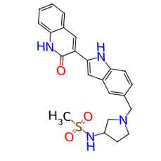 CS(=O)(=O)NC1CCN(Cc2ccc3[nH]c(-c4cc5ccccc5[nH]c4=O)cc3c2)C1